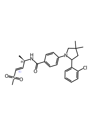 C[C@H](/C=C/S(C)(=O)=O)NC(=O)c1ccc(N2CC(C)(C)CC2c2ccccc2Cl)cc1